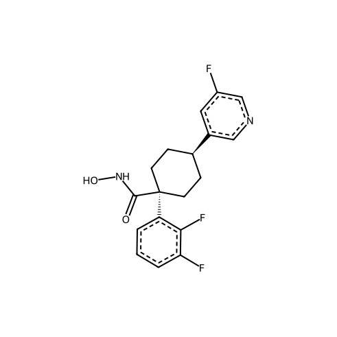 O=C(NO)[C@]1(c2cccc(F)c2F)CC[C@H](c2cncc(F)c2)CC1